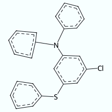 Clc1cc(Sc2ccccc2)cc(N(c2ccccc2)c2ccccc2)c1